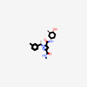 CNC(=O)c1cc(C(=O)N[C@H]2CC[C@@H](O)[C@H](C)C2)n([C@@H](C)c2cccc(C)c2)n1